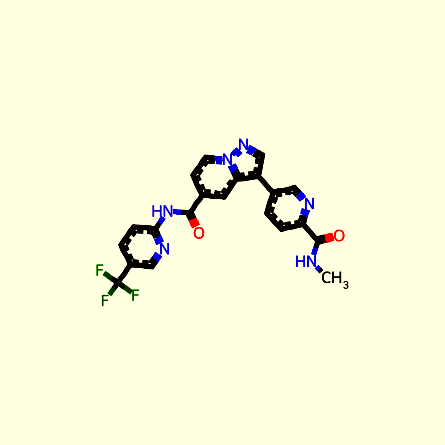 CNC(=O)c1ccc(-c2cnn3ccc(C(=O)Nc4ccc(C(F)(F)F)cn4)cc23)cn1